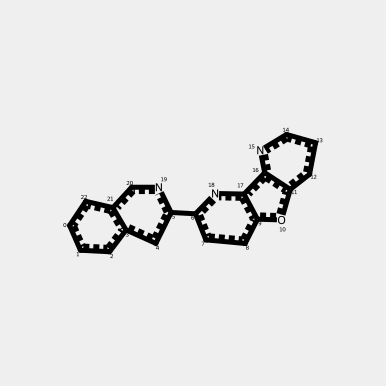 c1ccc2cc(-c3ccc4oc5cccnc5c4n3)ncc2c1